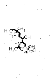 CCC(C)(C)C=CC(O)C(COP(=O)(O)OC)NC(C)=O